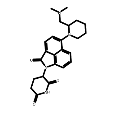 CN(C)CC1CCCCN1c1ccc2c3c(cccc13)N(C1CCC(=O)NC1=O)C2=O